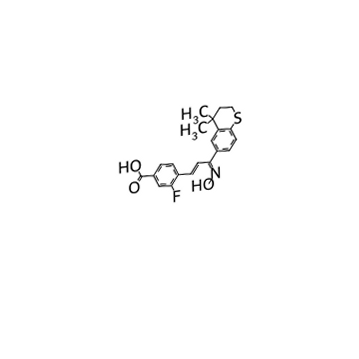 CC1(C)CCSc2ccc(C(/C=C/c3ccc(C(=O)O)cc3F)=NO)cc21